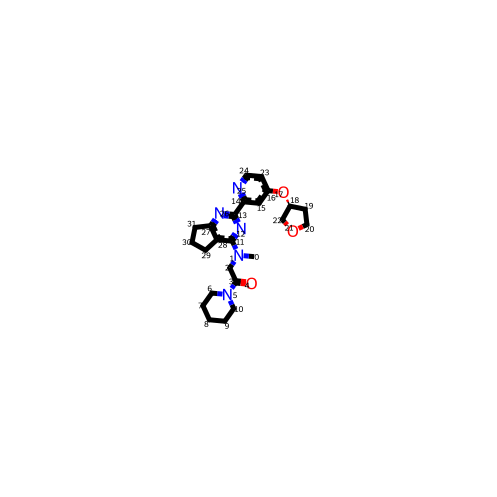 CN(CC(=O)N1CCCCC1)c1nc(-c2cc(O[C@@H]3CCOC3)ccn2)nc2c1CCC2